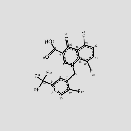 O=C(O)c1cn(Cc2cc(C(F)(F)F)ccc2F)c2c(F)ccc(F)c2c1=O